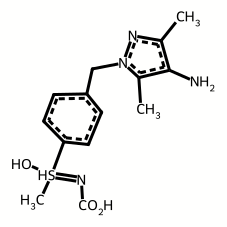 Cc1nn(Cc2ccc([SH](C)(O)=NC(=O)O)cc2)c(C)c1N